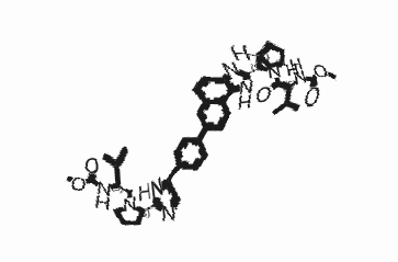 COC(=O)N[C@H](C(=O)N1[C@@H]2CC[C@@H](C2)[C@H]1c1nc2ccc3cc(-c4ccc(-c5cnc([C@@H]6CCCN6C[C@@H](NC(=O)OC)C(C)C)[nH]5)cc4)ccc3c2[nH]1)C(C)C